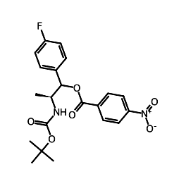 C[C@H](NC(=O)OC(C)(C)C)C(OC(=O)c1ccc([N+](=O)[O-])cc1)c1ccc(F)cc1